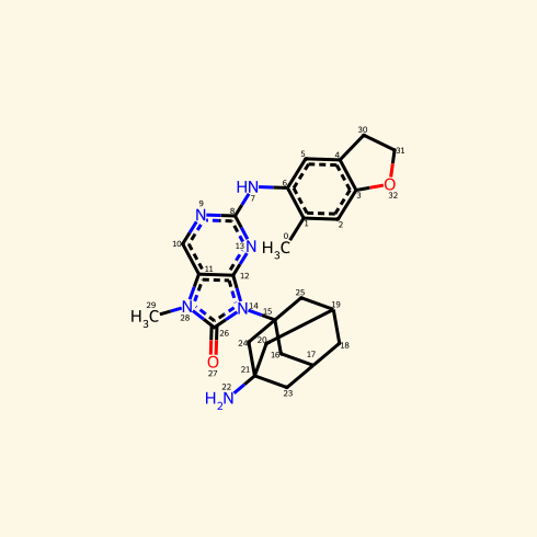 Cc1cc2c(cc1Nc1ncc3c(n1)n(C14CC5CC(CC(N)(C5)C1)C4)c(=O)n3C)CCO2